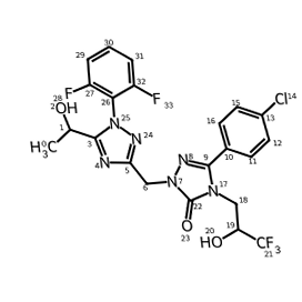 CC(O)c1nc(Cn2nc(-c3ccc(Cl)cc3)n(CC(O)C(F)(F)F)c2=O)nn1-c1c(F)cccc1F